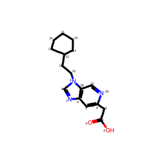 O=C(O)Cc1cc2ncn(CCC3CCCCC3)c2cn1